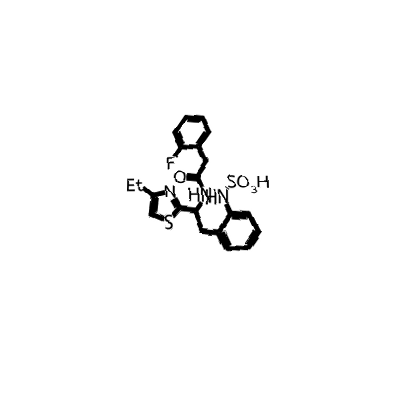 CCc1csc(C(Cc2ccccc2NS(=O)(=O)O)NC(=O)Cc2ccccc2F)n1